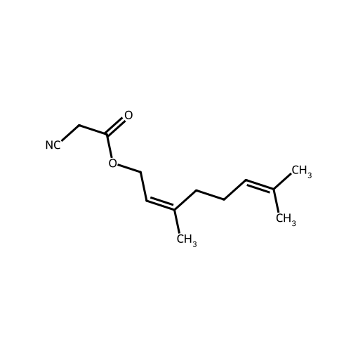 CC(C)=CCCC(C)=CCOC(=O)CC#N